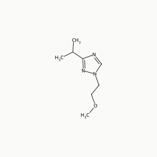 COCCn1cnc(C(C)C)n1